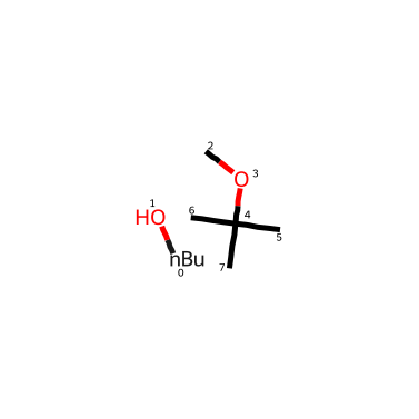 CCCCO.COC(C)(C)C